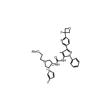 COCCN1C[C@@H](n2ccc(F)c2)[C@H](NC(=O)Nc2c(C)c(-c3ccc(C4(F)COC4)nc3)nn2-c2ccccc2)C1